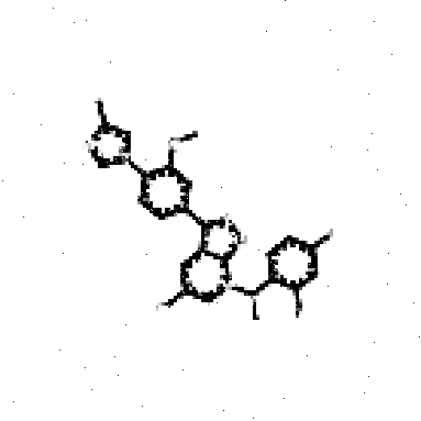 COc1cc(-c2nnc3n([C@H](C)c4ccc(F)cc4F)cc(Cl)cc2-3)ccc1-n1cnc(C)c1